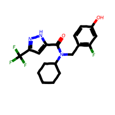 O=C(c1cc(C(F)(F)F)n[nH]1)N(Cc1ccc(O)cc1F)C1CCCCC1